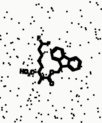 CN(C(=O)OCC1c2ccccc2-c2ccccc21)[C@@H](CCCCC(F)F)C(=O)O